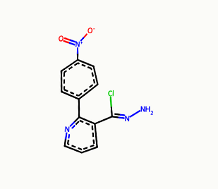 NN=C(Cl)c1cccnc1-c1ccc([N+](=O)[O-])cc1